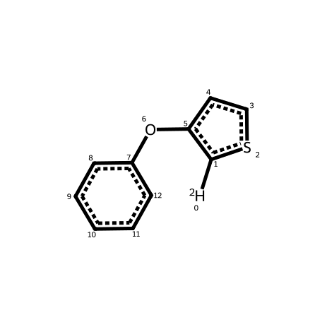 [2H]c1sccc1Oc1ccccc1